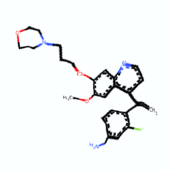 C=C(c1ccc(N)cc1F)c1ccnc2cc(OCCCN3CCOCC3)c(OC)cc12